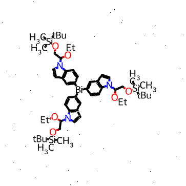 CCOC(CO[Si](C)(C)C(C)(C)C)n1ccc2c[c]([Bi]([c]3ccc4c(ccn4C(CO[Si](C)(C)C(C)(C)C)OCC)c3)[c]3ccc4c(ccn4C(CO[Si](C)(C)C(C)(C)C)OCC)c3)ccc21